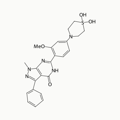 COc1cc(N2CCS(O)(O)CC2)ccc1-c1nc2c(c(-c3ccccc3)nn2C)c(=O)[nH]1